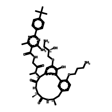 Cc1nc(-c2ccc(C(C)(C)C)cc2)nc(N)c1C(=O)NCC(=O)N(C)[C@@H]1C(=O)N[C@@H](C)C(=O)N[C@H](C)Cc2ccc(OCCCN)c(c2)-c2cc1cc(OC[C@@H](O)CN)c2O